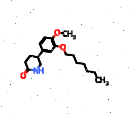 CCCCCCCOc1cc([C@@H]2CCC(=O)NC2)ccc1OC